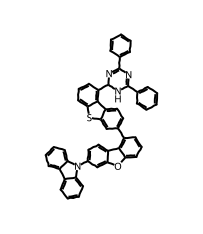 c1ccc(C2=NC(c3cccc4sc5cc(-c6cccc7oc8cc(-n9c%10ccccc%10c%10ccccc%109)ccc8c67)ccc5c34)NC(c3ccccc3)=N2)cc1